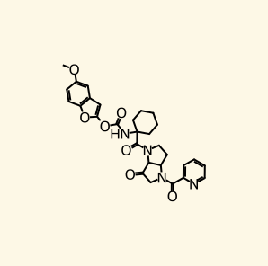 COc1ccc2oc(OC(=O)NC3(C(=O)N4CCC5C4C(=O)CN5C(=O)c4ccccn4)CCCCC3)cc2c1